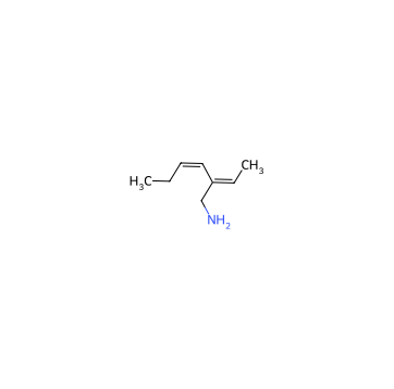 C/C=C(\C=C/CC)CN